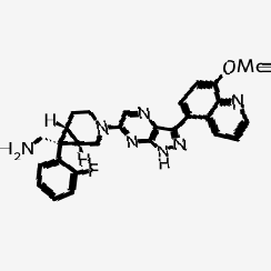 COc1ccc(-c2n[nH]c3nc(N4CC[C@@H]5[C@H](C4)[C@@]5(CN)c4ccccc4F)cnc23)c2cccnc12